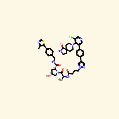 Cc1ncsc1-c1ccc(CNC(=O)[C@@H]2C[C@@H](O)CN2C(=O)C(NC(=O)CCCn2cc(-c3ccc(-c4cncc(Cl)c4N4CCC5(CCNC5=O)CC4)cc3)cn2)C(C)(C)C)cc1